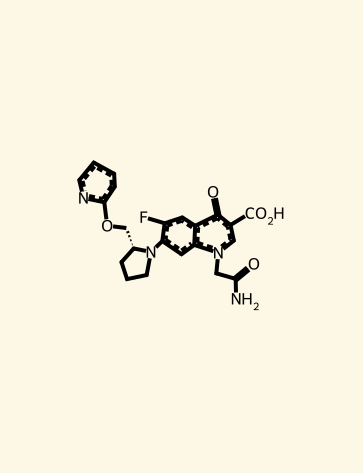 NC(=O)Cn1cc(C(=O)O)c(=O)c2cc(F)c(N3CCC[C@@H]3COc3ccccn3)cc21